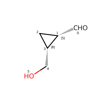 O=C[C@H]1C[C@H]1CO